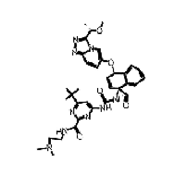 CO[C@@H](C)c1nnc2ccc(O[C@@H]3C=C[C@](C=O)(NC(=O)Nc4cc(C(C)(C)C)nc(C(=O)NCCN(C)C)n4)c4ccccc43)cn12